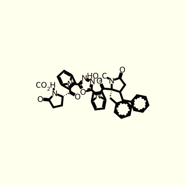 O=C(O)N1C(=O)CC[C@H]1C(=O)[N+]1(c2nnc([N+]3(C(=O)[C@]4(Cc5ccccc5)C(Cc5ccccc5)CC(=O)N4C(=O)O)C4=CC=C3C=C4)o2)C2=CC=C1C=C2